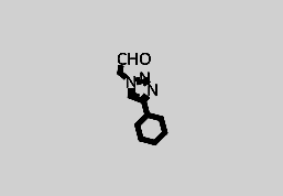 O=CCn1cc(C2CCCCC2)nn1